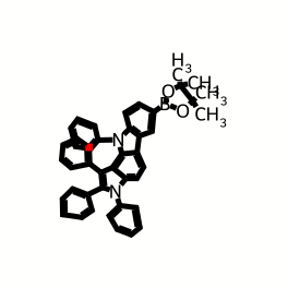 CC1(C)OB(c2ccc3c(c2)c2ccc4c(c(-c5ccccc5)c(-c5ccccc5)n4-c4ccccc4)c2n3-c2ccccc2)OC1(C)C